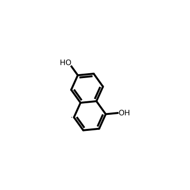 Oc1ccc2c(O)cc[c]c2c1